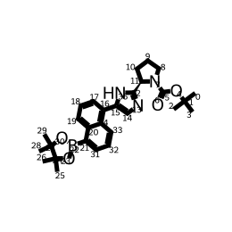 CC(C)(C)OC(=O)N1CCC[C@@H]1c1ncc(-c2cccc3c(B4OC(C)(C)C(C)(C)O4)cccc23)[nH]1